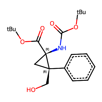 CC(C)(C)OC(=O)N[C@]1(C(=O)OC(C)(C)C)C[C@@]1(CO)c1ccccc1